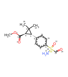 COC(=O)[C@@H]1[C@@H](c2ccc([SH](N)(=O)C=O)cc2)C1(C)C